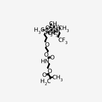 C=C(C)C(=O)OCCNC(=O)OCCOCCC[Si](C)(C)O[Si](C)(C)O[Si](C)(C)CCC(F)(F)F